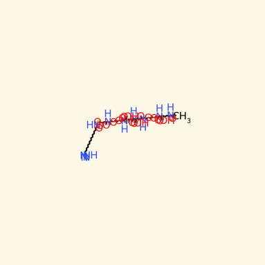 CCC(=O)NCCCC[C@H](NC(=O)COCCOCCNC(=O)CC[C@H](NC(=O)CC[C@H](NC(=O)COCCOCCNC(=O)CCCS(=O)(=O)NC(=O)CCCCCCCCCCCCCCCc1nnn[nH]1)C(=O)O)C(=O)O)C(=O)O